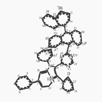 C1=C(c2ccccc2)C=C2N(C1)C(c1ccccc1)=C(c1ncnc(-c3c4ccccc4c(-c4cccc5ccccc45)c4ccccc34)n1)N2c1ccccc1